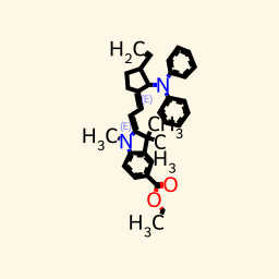 C=CC1CC/C(=C\C=C2\N(C)c3ccc(C(=O)OCC)cc3C2(C)C)C1N(c1ccccc1)c1ccccc1